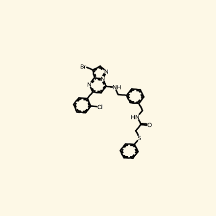 O=C(CSc1ccccc1)NCc1cccc(CNc2cc(-c3ccccc3Cl)nc3c(Br)cnn23)c1